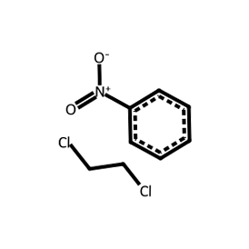 ClCCCl.O=[N+]([O-])c1ccccc1